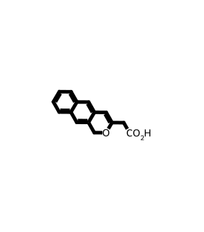 O=C(O)CC1=Cc2cc3ccccc3cc2CO1